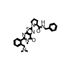 CN(C)Cc1ccccc1-c1nc2sc(N3CCCC3C(=O)NCc3ccccc3)nc2c(=O)n1C